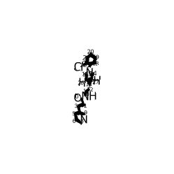 O=C(/C=C/c1cccnc1)NCC[C@@H]1[C@H]2CN(c3ccccc3Cl)C[C@@H]12